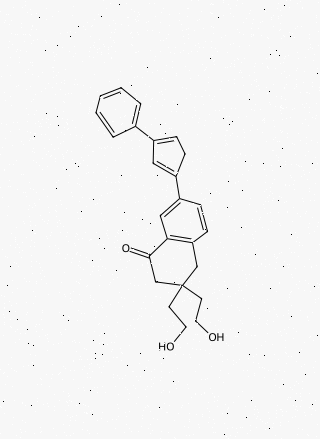 O=C1CC(CCO)(CCO)Cc2ccc(C3=CC(c4ccccc4)=CC3)cc21